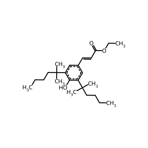 CCCCC(C)(C)c1cc(C=CC(=O)OCC)cc(C(C)(C)CCCC)c1O